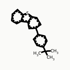 CC(C)(C)c1ccc(-c2ccc3sc4ccccc4c3c2)cc1